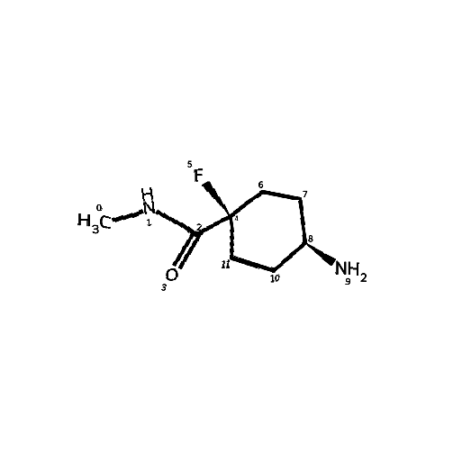 CNC(=O)[C@]1(F)CC[C@@H](N)CC1